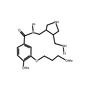 CCNCC1CNCC1CN(C(=O)c1ccc(OC)c(OCCCOC)c1)C(C)C